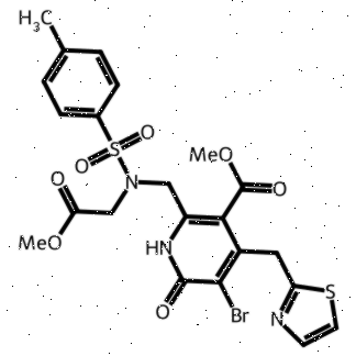 COC(=O)CN(Cc1[nH]c(=O)c(Br)c(Cc2nccs2)c1C(=O)OC)S(=O)(=O)c1ccc(C)cc1